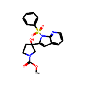 CC(C)(C)OC(=O)N1CCC(O)(c2cc3cccnc3n2S(=O)(=O)c2ccccc2)C1